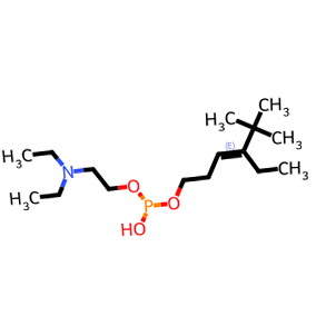 CC/C(=C\CCOP(O)OCCN(CC)CC)C(C)(C)C